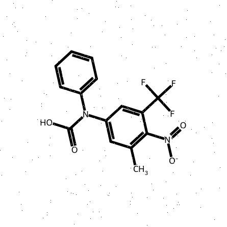 Cc1cc(N(C(=O)O)c2ccccc2)cc(C(F)(F)F)c1[N+](=O)[O-]